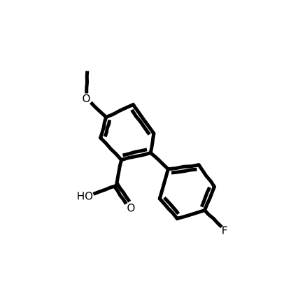 COc1ccc(-c2ccc(F)cc2)c(C(=O)O)c1